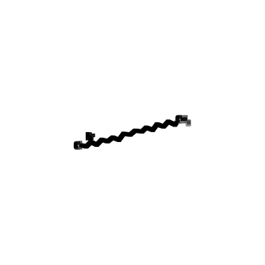 CCCCCCCCCCCCCCCCC(Br)CCl